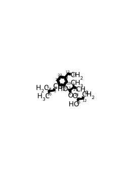 C=C(C)C(=O)O.C=CC(=C)C.C=CC(=O)O.C=Cc1ccccc1